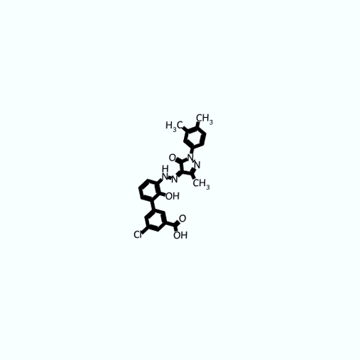 CC1=NN(c2ccc(C)c(C)c2)C(=O)/C1=N\Nc1cccc(-c2cc(Cl)cc(C(=O)O)c2)c1O